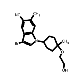 Cc1cc2c(cc1C#N)c(Br)cn2C1CCC(C)(OCCO)CC1